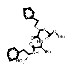 CCC(C)[C@H](NC(=O)[C@H](CCc1ccccc1)NC(=O)OC(C)(C)C)C(=O)N[C@@H](Cc1ccccc1)C(=O)O